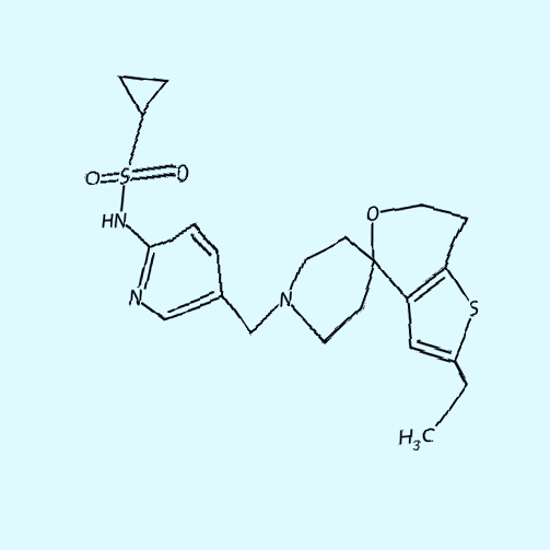 CCc1cc2c(s1)CCOC21CCN(Cc2ccc(NS(=O)(=O)C3CC3)nc2)CC1